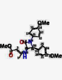 COC(=O)C=C(C)N[C@H]1C(=O)N(c2ccc(OC)cc2)[C@H]1c1ccc(OC)cc1